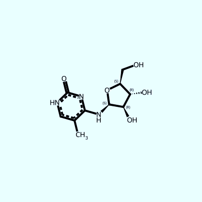 Cc1c[nH]c(=O)nc1N[C@H]1O[C@@H](CO)[C@H](O)[C@H]1O